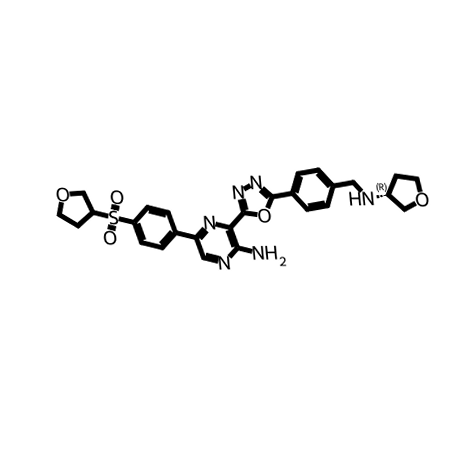 Nc1ncc(-c2ccc(S(=O)(=O)C3CCOC3)cc2)nc1-c1nnc(-c2ccc(CN[C@@H]3CCOC3)cc2)o1